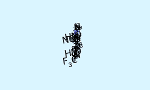 C[C@H](C(=O)Nc1ncc(C(F)(F)F)s1)c1cccc(-c2cnc(NC(=O)/C=C/CN(C)C)c(C#N)c2)c1